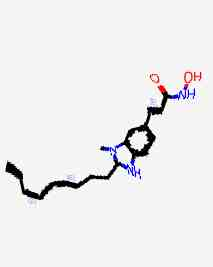 C=C/C=C\C=C\CCC1Nc2ccc(/C=C/C(=O)NO)cc2N1C